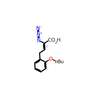 CCCCOc1ccccc1C/C=C(\N=[N+]=[N-])C(=O)O